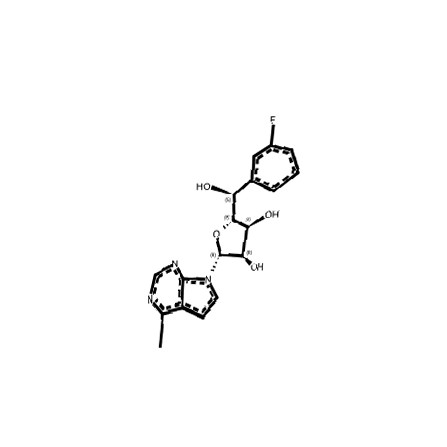 Cc1ncnc2c1ccn2[C@@H]1O[C@H]([C@@H](O)c2cccc(F)c2)[C@@H](O)[C@H]1O